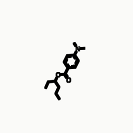 CCCC(CC)OC(=O)c1ccc(N(C)C)cc1